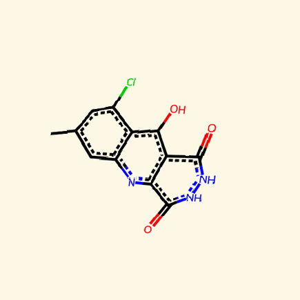 Cc1cc(Cl)c2c(O)c3c(=O)[nH][nH]c(=O)c3nc2c1